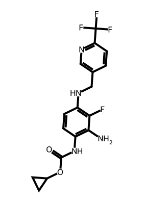 Nc1c(NC(=O)OC2CC2)ccc(NCc2ccc(C(F)(F)F)nc2)c1F